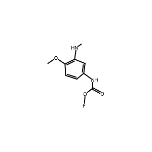 CNc1cc(NC(=O)OF)ccc1OC